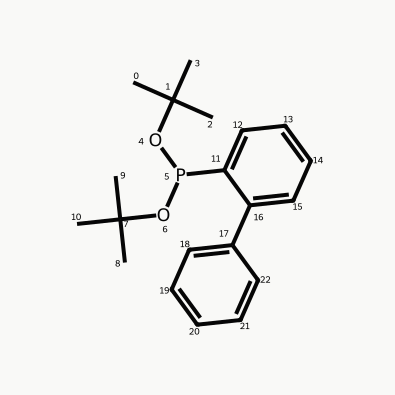 CC(C)(C)OP(OC(C)(C)C)c1ccccc1-c1ccccc1